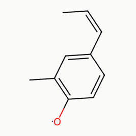 C/C=C\c1ccc([O])c(C)c1